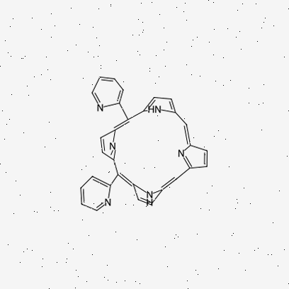 C1=Cc2cc3ccc([nH]3)c(-c3ccccn3)c3nc(c(-c4ccccn4)c4ccc(cc1n2)[nH]4)C=C3